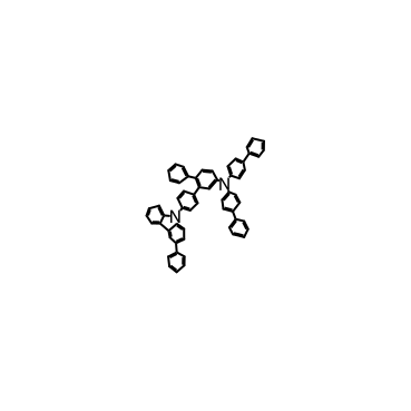 c1ccc(-c2ccc(N(c3ccc(-c4ccccc4)cc3)c3ccc(-c4ccccc4)c(-c4ccc(-n5c6ccccc6c6cc(-c7ccccc7)ccc65)cc4)c3)cc2)cc1